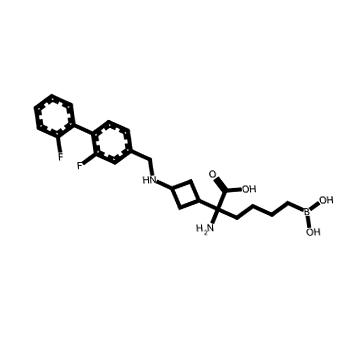 NC(CCCCB(O)O)(C(=O)O)C1CC(NCc2ccc(-c3ccccc3F)c(F)c2)C1